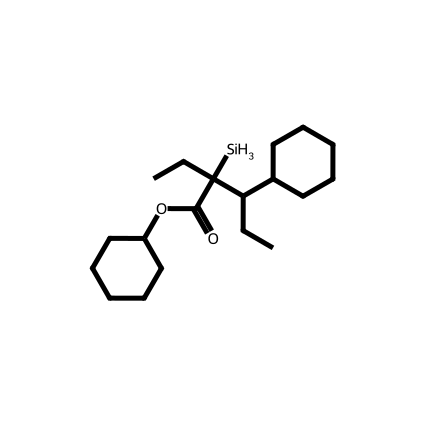 CCC(C1CCCCC1)C([SiH3])(CC)C(=O)OC1CCCCC1